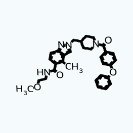 COCCNC(=O)c1ccc2nn(CC3CCN(C(=O)c4ccc(Oc5ccccc5)cc4)CC3)cc2c1C